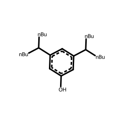 CCCCC(CCCC)c1cc(O)cc(C(CCCC)CCCC)c1